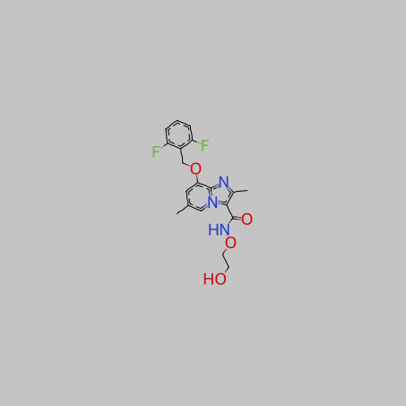 Cc1cc(OCc2c(F)cccc2F)c2nc(C)c(C(=O)NOCCO)n2c1